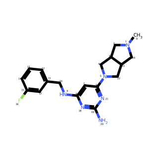 CN1CC2CN(c3cc(NCc4cccc(F)c4)nc(N)n3)CC2C1